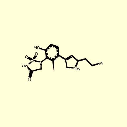 CC(C)CCC1C=C(c2ccc(O)c(N3CC(=O)NS3(=O)=O)c2F)CN1